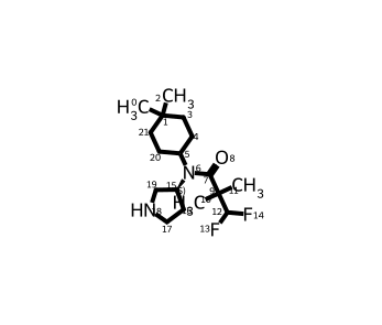 CC1(C)CCC(N(C(=O)C(C)(C)C(F)F)[C@H]2CCNC2)CC1